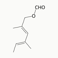 CC=C(C)C=C(C)COC=O